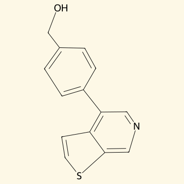 OCc1ccc(-c2cncc3sccc23)cc1